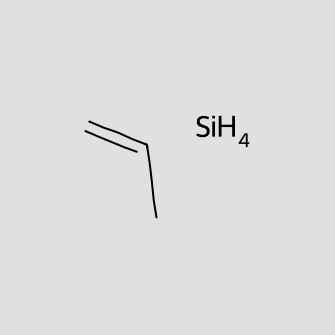 C=CC.[SiH4]